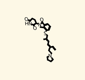 C=C/C(=C\C=C(/C)CSc1cccc2c1CN(C1CCC(=O)NC1=O)C2=O)CCN1CCCC1